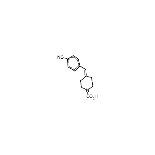 N#Cc1ccc(C=C2CCN(C(=O)O)CC2)cc1